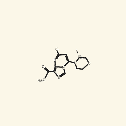 COC(=O)c1ncn2c(N3CCOC[C@H]3C)cc(Cl)nc12